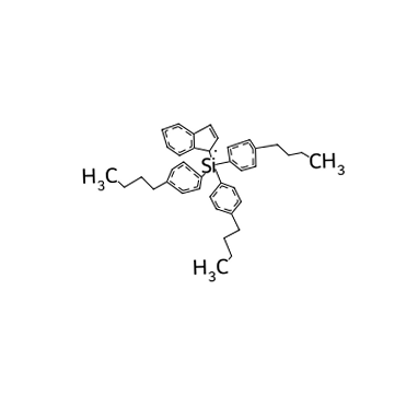 CCCCc1ccc([Si]([C]2C=Cc3ccccc32)(c2ccc(CCCC)cc2)c2ccc(CCCC)cc2)cc1